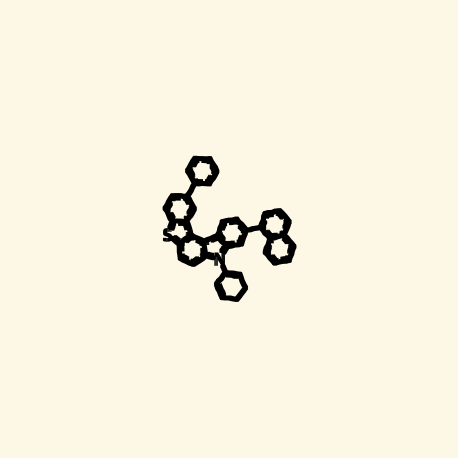 C1=CC(n2c3cc(-c4cccc5ccccc45)ccc3c3c4c(ccc32)sc2ccc(-c3ccccc3)cc24)=CCC1